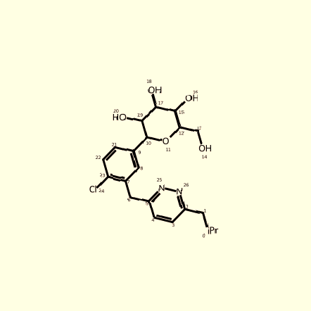 CC(C)Cc1ccc(Cc2cc(C3OC(CO)C(O)C(O)C3O)ccc2Cl)nn1